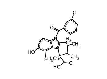 CCC(C)[C@@](C)(C(=O)O)c1c(C)n(C(=O)c2cccc(Cl)c2)c2ccc(O)c(F)c12